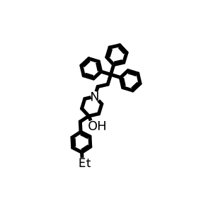 CCc1ccc(CC2(O)CCN(CCC(c3ccccc3)(c3ccccc3)c3ccccc3)CC2)cc1